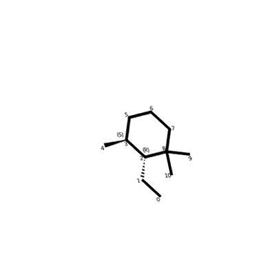 CC[C@@H]1[C@@H](C)CCCC1(C)C